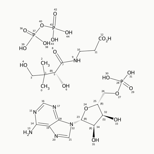 CC(C)(CO)[C@@H](O)C(=O)NCCC(=O)O.Nc1ncnc2c1ncn2[C@@H]1O[C@H](COP(=O)(O)O)[C@@H](O)[C@H]1O.O=P(O)(O)OP(=O)(O)O